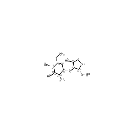 NC[C@@H]1O[C@H](O[C@H]2[C@@H](O)[CH]O[C@@H]2CO)[C@H](N)[C@@H](O)[C@@H]1O